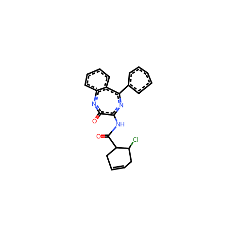 O=C(Nc1nc(-c2ccccc2)c2ccccc2nc1=O)C1CC=CCC1Cl